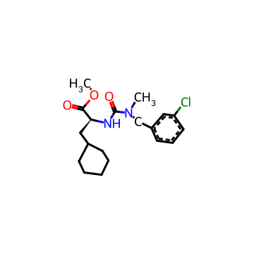 COC(=O)[C@H](CC1CCCCC1)NC(=O)N(C)Cc1cccc(Cl)c1